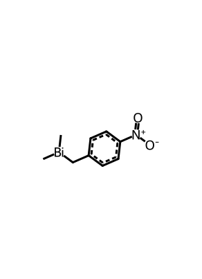 [CH3][Bi]([CH3])[CH2]c1ccc([N+](=O)[O-])cc1